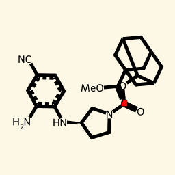 COC(=O)C12CC3CC(C1)C(OC(=O)N1CC[C@@H](Nc4ccc(C#N)cc4N)C1)C(C3)C2